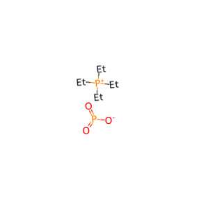 CC[P+](CC)(CC)CC.O=P(=O)[O-]